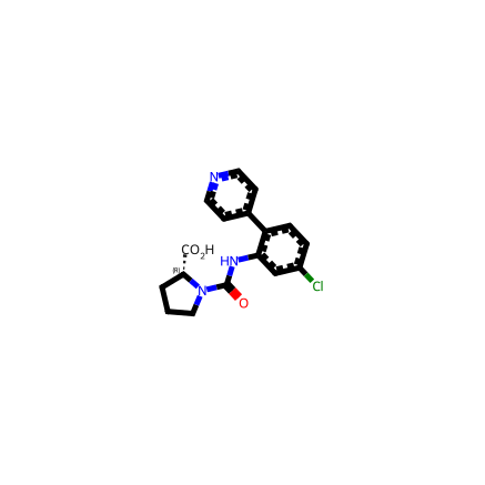 O=C(O)[C@H]1CCCN1C(=O)Nc1cc(Cl)ccc1-c1ccncc1